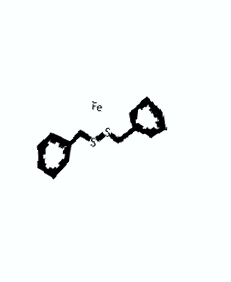 [Fe].c1ccc(CSSCc2ccccc2)cc1